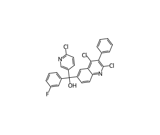 OC(c1ccc(Cl)nc1)(c1cccc(F)c1)c1ccc2nc(Cl)c(-c3ccccc3)c(Cl)c2c1